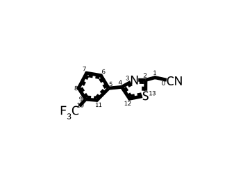 N#CCc1nc(-c2cccc(C(F)(F)F)c2)cs1